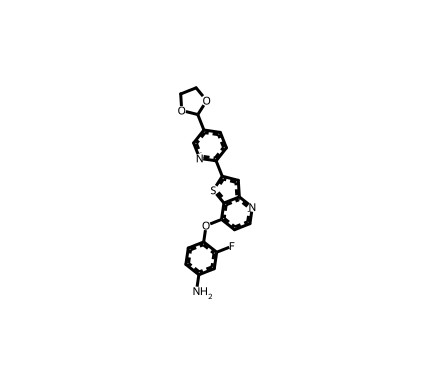 Nc1ccc(Oc2ccnc3cc(-c4ccc(C5OCCO5)cn4)sc23)c(F)c1